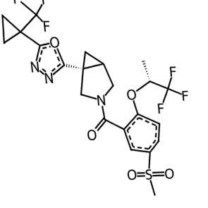 C[C@@H](Oc1ccc(S(C)(=O)=O)cc1C(=O)N1CC2C[C@]2(c2nnc(C3(C(F)(F)F)CC3)o2)C1)C(F)(F)F